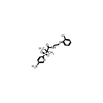 Bc1ccc(S(=O)(=O)C(C)(C)C(=O)NCCSc2ccccc2Cl)nc1